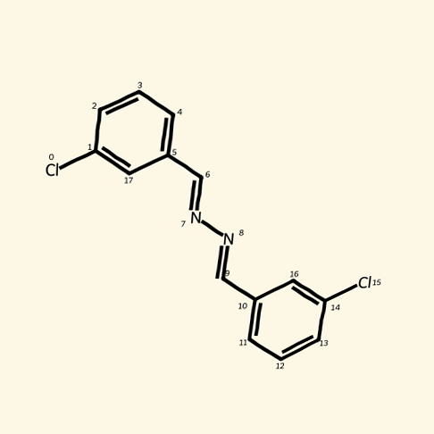 Clc1cccc(C=NN=Cc2cccc(Cl)c2)c1